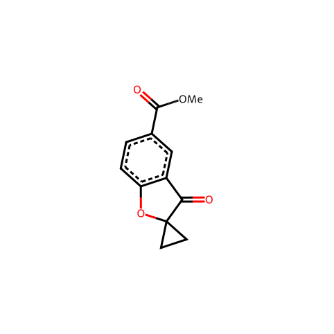 COC(=O)c1ccc2c(c1)C(=O)C1(CC1)O2